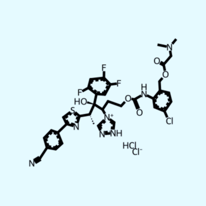 C[C@H](c1nc(-c2ccc(C#N)cc2)cs1)[C@](O)(c1cc(F)c(F)cc1F)C(CCOC(=O)Nc1cc(Cl)ccc1COC(=O)CN(C)C)[n+]1cn[nH]c1.Cl.[Cl-]